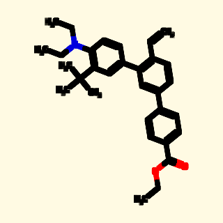 C=Cc1ccc(-c2ccc(C(=O)OCC)cc2)cc1-c1ccc(N(CC)CC)c(C(C)(C)C)c1